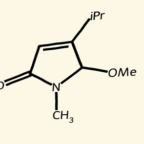 COC1C(C(C)C)=CC(=O)N1C